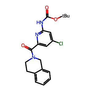 CC(C)(C)OC(=O)Nc1cc(Cl)cc(C(=O)N2CCc3ccccc3C2)n1